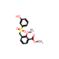 COC(=O)c1cccc(CS(=O)(=O)c2cccc(O)c2)c1OC